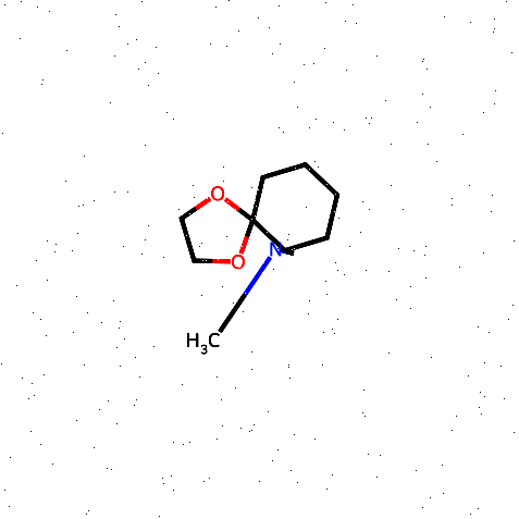 CN1CCC2(CCCCC23OCCO3)C1